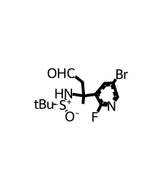 CC(CC=O)(N[S@+]([O-])C(C)(C)C)c1cc(Br)cnc1F